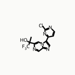 CC(O)(c1cn2c(-c3ccnc(Cl)n3)cnc2cn1)C(F)(F)F